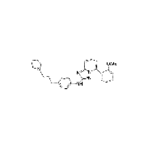 COc1ccccc1-c1cccc2nc(Nc3ccc(CCCN4CCCC4)cc3)nn12